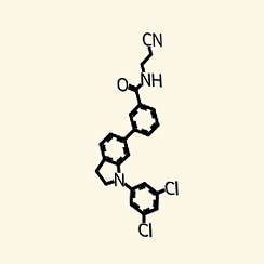 N#CCCNC(=O)c1cccc(-c2ccc3c(c2)N(c2cc(Cl)cc(Cl)c2)CC3)c1